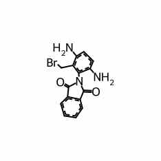 Nc1ccc(N)c(N2C(=O)c3ccccc3C2=O)c1CBr